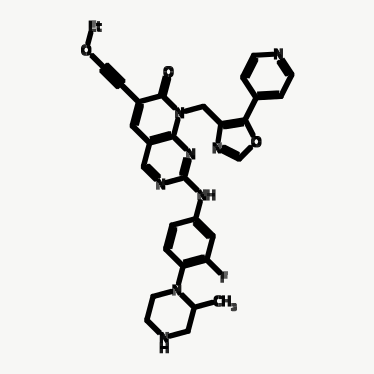 CCOC#Cc1cc2cnc(Nc3ccc(N4CCNCC4C)c(F)c3)nc2n(Cc2ncoc2-c2ccncc2)c1=O